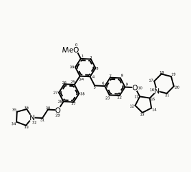 COc1ccc(Cc2ccc(OC3CCCC3N3CCCCC3)cc2)c(-c2ccc(OCCN3CCCC3)cc2)c1